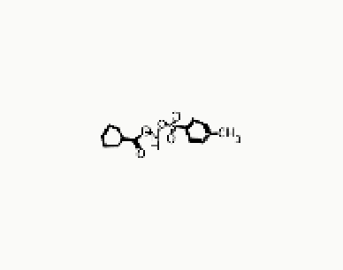 Cc1ccc(S(=O)(=O)ONOC(=O)C2CCCCC2)cc1